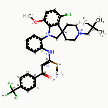 COc1ccc(Cl)c2c1N(c1ccccc1N/C(=C/C(=O)c1ccc(C(F)(F)F)cc1)SC)CC21CCN(CC(C)(C)C)CC1